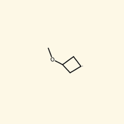 COC1C[CH]C1